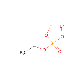 O=P(OF)(OBr)OCC(F)(F)F